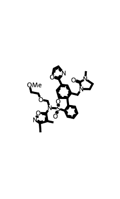 COCCOCN(c1onc(C)c1C)S(=O)(=O)c1ccccc1-c1ccc(-c2ncco2)cc1CN1CCN(C)C1=O